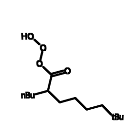 CCCCC(CCCCC(C)(C)C)C(=O)OOO